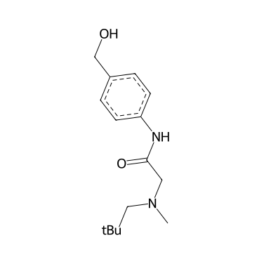 CN(CC(=O)Nc1ccc(CO)cc1)CC(C)(C)C